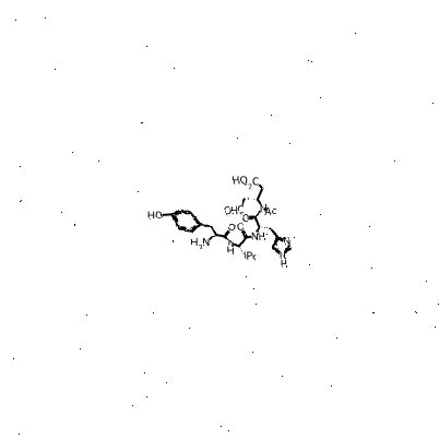 CC(=O)N(C(=O)[C@H](Cc1c[nH]cn1)NC(=O)[C@@H](NC(=O)[C@@H](N)Cc1ccc(O)cc1)C(C)C)[C@H](CC=O)CC(=O)O